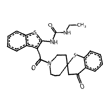 CCNC(=O)Nc1sc2ccccc2c1C(=O)N1CCC2(CC1)CC(=O)c1ccccc1S2